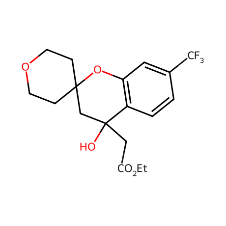 CCOC(=O)CC1(O)CC2(CCOCC2)Oc2cc(C(F)(F)F)ccc21